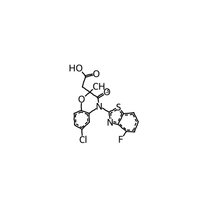 CC1(CC(=O)O)Oc2ccc(Cl)cc2N(c2nc3c(F)cccc3s2)C1=O